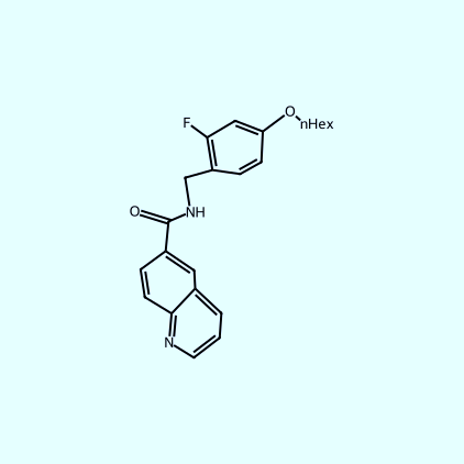 CCCCCCOc1ccc(CNC(=O)c2ccc3ncccc3c2)c(F)c1